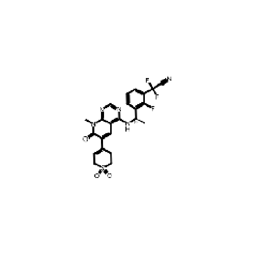 C[C@@H](Nc1ncnc2c1cc(C1=CCS(=O)(=O)CC1)c(=O)n2C)c1cccc(C(F)(F)C#N)c1F